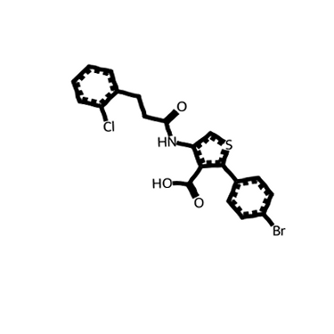 O=C(CCc1ccccc1Cl)Nc1csc(-c2ccc(Br)cc2)c1C(=O)O